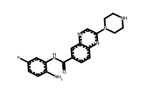 Nc1ccc(F)cc1NC(=O)c1ccc2nc(N3CCNCC3)cnc2c1